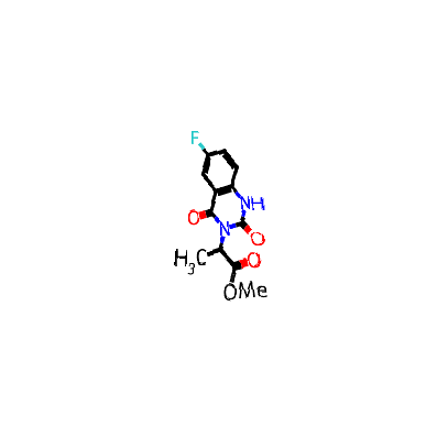 COC(=O)C(C)n1c(=O)[nH]c2ccc(F)cc2c1=O